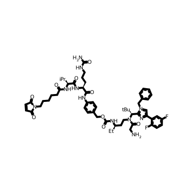 CC[C@H](CCN(C(=O)CN)[C@@H](c1nc(-c2cc(F)ccc2F)cn1Cc1ccccc1)C(C)(C)C)NC(=O)OCc1ccc(NC(=O)[C@H](CCCNC(N)=O)NC(=O)[C@@H](NC(=O)CCCCCN2C(=O)C=CC2=O)C(C)C)cc1